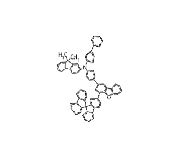 CC1(C)c2ccccc2-c2ccc(N(c3ccc(-c4ccccc4)cc3)c3ccc(-c4cc(-c5ccc6c(c5)C5(c7ccccc7-c7ccccc75)c5ccccc5-6)c5oc6ccccc6c5c4)cc3)cc21